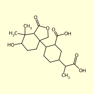 CC(C(=O)O)C1CCC(C23CCC(O)C(C)(C)C2C(=O)OC3)C(C(=O)O)C1